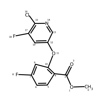 COC(=O)c1ccc(F)cc1Oc1cnc(Cl)c(F)c1